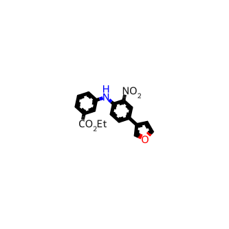 CCOC(=O)c1cccc(Nc2ccc(-c3ccoc3)cc2[N+](=O)[O-])c1